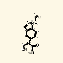 CCCCOn1ncc2cc(N(CC#N)C(=O)CC)ccc21